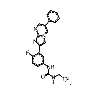 CN(CC(F)(F)F)C(=O)Nc1ccc(F)c(-c2cn3cc(-c4ccccc4)cnc3n2)c1